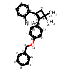 CC(=O)Nc1ccccc1C1=C(c2ccc(OCc3ccccc3)cc2)C(C)(C)C1